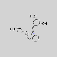 CC(C)(O)CCC[C@@H]1CCC2(CCCCC2)/C1=C/C=C1CC(O)CC(O)C1